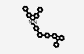 c1ccc(-c2ccc3c(c2)c2cc(-c4ccccc4)ccc2c2nc(-c4ccc(-c5cccc(-c6ccc(-c7ccc8c(c7)C(c7ccccc7)c7ccccc7-8)cc6)c5)cc4)cnc32)cc1